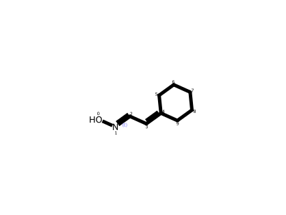 O/N=C/C=C1CCCCC1